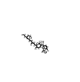 CCCC1CCOC(/C=C/C(C)=C/CC2OC(C)C(NC(=O)/C=C\C(C)OC(C)=O)CCC2C)C1